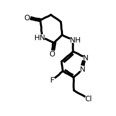 O=C1CCC(Nc2cc(F)c(CCl)nn2)C(=O)N1